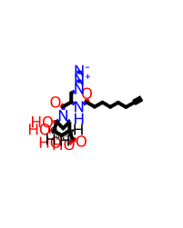 C#CCCCCCC(=O)NC(CN=[N+]=[N-])C(=O)N1C2CC1(O)[C@@H](O)[C@H](O)[C@H]2C(=O)O